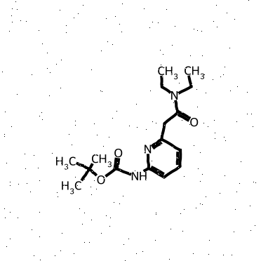 CCN(CC)C(=O)Cc1cccc(NC(=O)OC(C)(C)C)n1